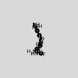 CN/C=N\C(=N)c1ccc(C2=CCN(C(=O)CN3CC[C@]4(CCN(c5ccc(N)c(C(=N)c6ccc(F)cn6)n5)C4=O)C3)CC2)cc1